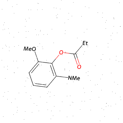 CCC(=O)Oc1c(NC)cccc1OC